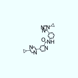 O=C(Nc1cccc(-c2nncn2C2CC2)c1)c1cc(-c2cnc(C3CC3)cn2)ccn1